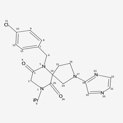 CC(C)N1CC(=O)N(Cc2ccc(Cl)cc2)C2(CCN(c3cnccn3)C2)C1=O